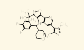 Cc1nnn(C)c1-c1cnc2c3onc(C(C)(C)O)c3n(C(c3ccc(F)c(F)c3)C3CCOCC3)c2c1